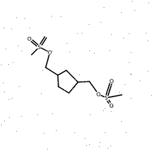 C=S(C)(=O)OCC1CCC(COS(C)(=O)=O)C1